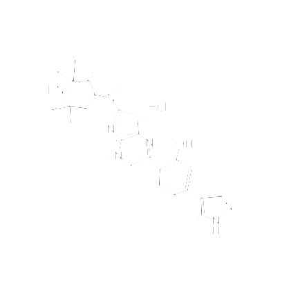 CN(c1nc2ncc(-c3ccc(-c4cn[nH]c4)cc3O)nc2s1)C1CC(C)(C)NC(C)(C)C1.Cl